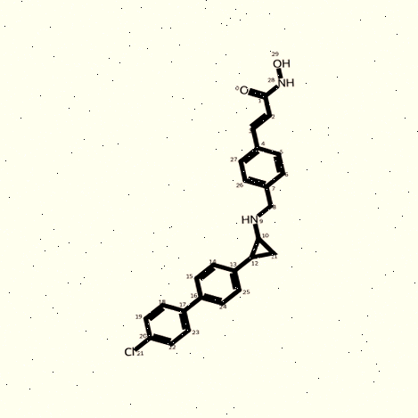 O=C(/C=C/c1ccc(CNC2CC2c2ccc(-c3ccc(Cl)cc3)cc2)cc1)NO